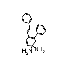 NC1(N)C=CC(C=Cc2ccccc2)=C(c2ccccc2)C1